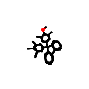 COc1c(C)cc(C2(c3cc(C)c(C)c(C)c3)c3ccccc3-c3ccccc32)cc1C